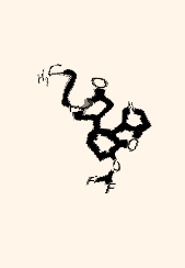 CCCN1CC(c2ccc(OC(F)F)c3oc4ccncc4c23)CC1=O